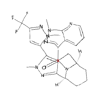 Cn1nc(C(F)(F)F)cc1-c1c2c(nn1C)[C@@H]1CCC[C@H](C2)N1C(=O)c1nn(C)c2ncccc12